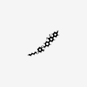 C=CCCCOc1ccc(OCC2CCC(c3ccc(-c4ccc(C)cc4)c(F)c3F)CC2)c(F)c1